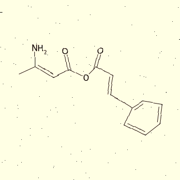 C/C(N)=C/C(=O)OC(=O)/C=C/c1ccccc1